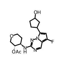 CC(=O)O[C@@H]1COCC[C@H]1Nc1ncc2c(F)cc(C3CCC(O)C3)n2n1